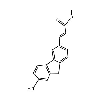 COC(=O)C=Cc1ccc2c(c1)-c1ccc(N)cc1C2